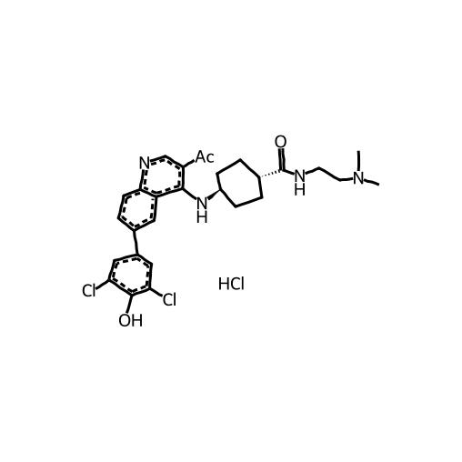 CC(=O)c1cnc2ccc(-c3cc(Cl)c(O)c(Cl)c3)cc2c1N[C@H]1CC[C@H](C(=O)NCCN(C)C)CC1.Cl